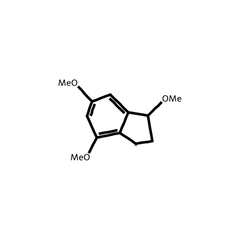 COc1cc(OC)c2c(c1)C(OC)C[C]2